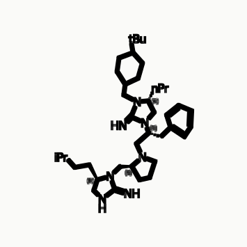 CCC[C@@H]1CN([C@H](Cc2ccccc2)CN2CCC[C@H]2CN2C(=N)NC[C@H]2CCC(C)C)C(=N)N1CC1CCC(C(C)(C)C)CC1